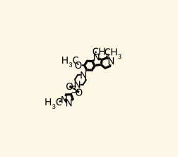 COc1cc2c(cc1N1CCN(S(=O)(=O)c3cnn(C)c3)CC1)c1ccnc(C)c1n2C